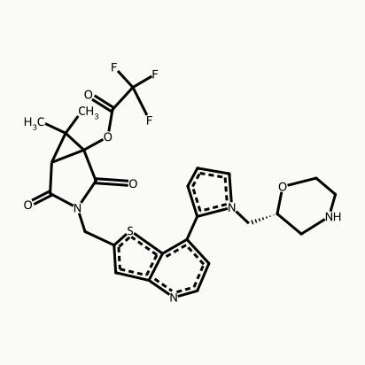 CC1(C)C2C(=O)N(Cc3cc4nccc(-c5cccn5C[C@H]5CNCCO5)c4s3)C(=O)C21OC(=O)C(F)(F)F